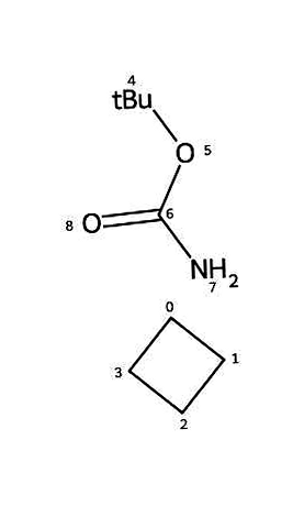 C1CCC1.CC(C)(C)OC(N)=O